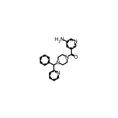 Nc1cncc(C(=O)N2CCN(C(c3ccccc3)c3ccccn3)CC2)c1